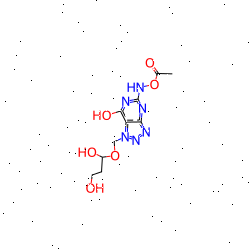 CC(=O)ONc1nc(O)c2c(nnn2COC(O)CCO)n1